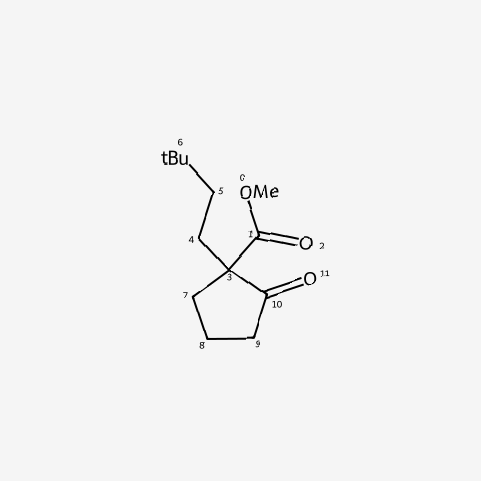 COC(=O)C1(CCC(C)(C)C)CCCC1=O